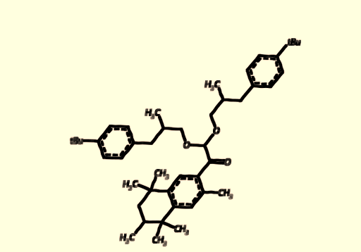 Cc1cc2c(cc1C(=O)C(OCC(C)Cc1ccc(C(C)(C)C)cc1)OCC(C)Cc1ccc(C(C)(C)C)cc1)C(C)(C)CC(C)C2(C)C